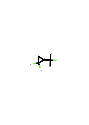 CC(C)(F)C1CC1(F)F